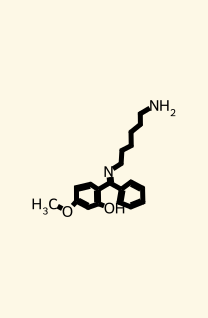 COc1ccc(C(=NCCCCCCN)c2ccccc2)c(O)c1